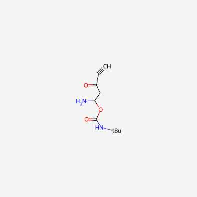 C#CC(=O)CC(N)OC(=O)NC(C)(C)C